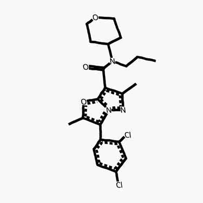 CCCN(C(=O)c1c(C)nn2c(-c3ccc(Cl)cc3Cl)c(C)oc12)C1CCOCC1